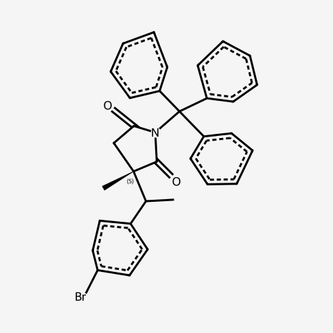 CC(c1ccc(Br)cc1)[C@]1(C)CC(=O)N(C(c2ccccc2)(c2ccccc2)c2ccccc2)C1=O